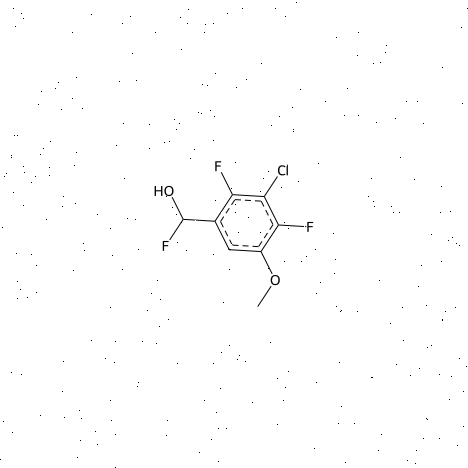 COc1cc(C(O)F)c(F)c(Cl)c1F